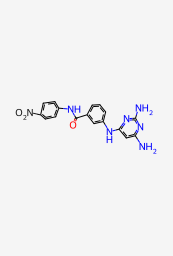 Nc1cc(Nc2cccc(C(=O)Nc3ccc([N+](=O)[O-])cc3)c2)nc(N)n1